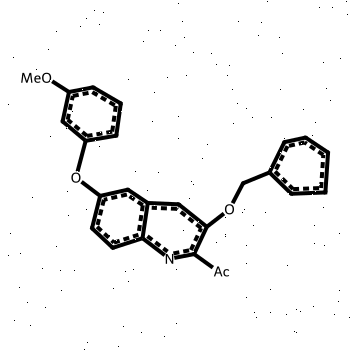 COc1cccc(Oc2ccc3nc(C(C)=O)c(OCc4ccccc4)cc3c2)c1